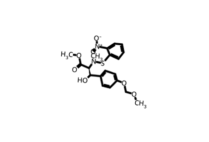 COCOc1ccc(C(O)[C@@H](C(=O)OC)N(C)Sc2ccccc2[N+](=O)[O-])cc1